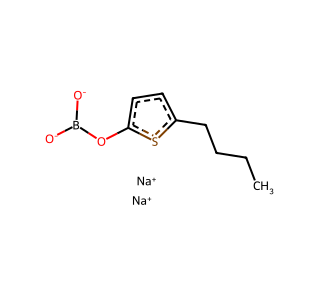 CCCCc1ccc(OB([O-])[O-])s1.[Na+].[Na+]